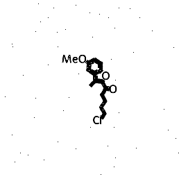 COc1ccc2oc(C(=O)CCCCCl)c(C)c2c1